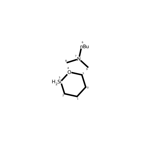 C1CC[SiH2]OC1.CCCCN(C)C